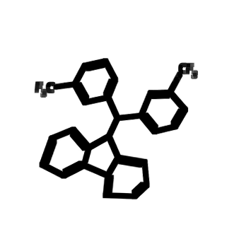 FC(F)(F)c1cccc(C(c2cccc(C(F)(F)F)c2)C2c3ccccc3-c3ccccc32)c1